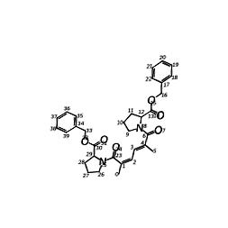 CC(=CC=C(C)C(=O)N1CCCC1C(=O)OCc1ccccc1)C(=O)N1CCCC1C(=O)OCc1ccccc1